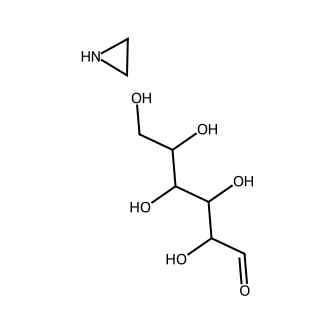 C1CN1.O=CC(O)C(O)C(O)C(O)CO